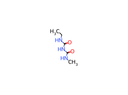 CCNC(=O)NC(=O)NC